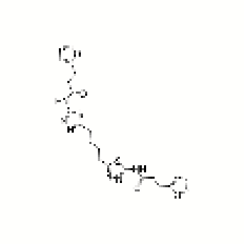 O=C(CCc1ccco1)Nc1nnc(CCCCc2nnc(NC(=O)CCc3ccco3)s2)s1